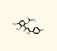 Cc1ccc(SC(N)=S)c(C(=O)C=C(O)c2ccc(Br)cc2)c1C